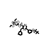 CCOP(=O)(CC(=O)ON(C)c1ncc(-c2cccc(O[Si](C)(C)C(C)(C)C)c2)nc1Cc1ccccc1)OCC